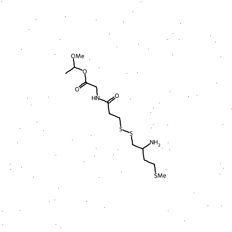 COC(C)OC(=O)CNC(=O)CCSSCC(N)CCSC